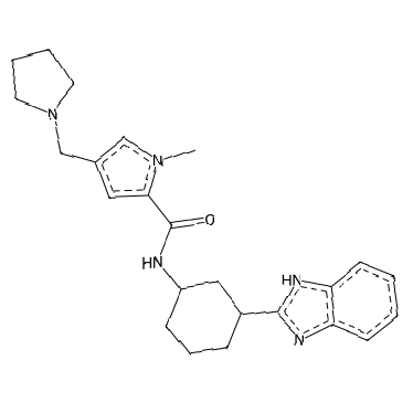 Cn1cc(CN2CCCC2)cc1C(=O)NC1CCCC(c2nc3ccccc3[nH]2)C1